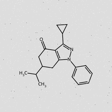 CC(C)C1CC(=O)c2c(C3CC3)nn(-c3ccccc3)c2C1